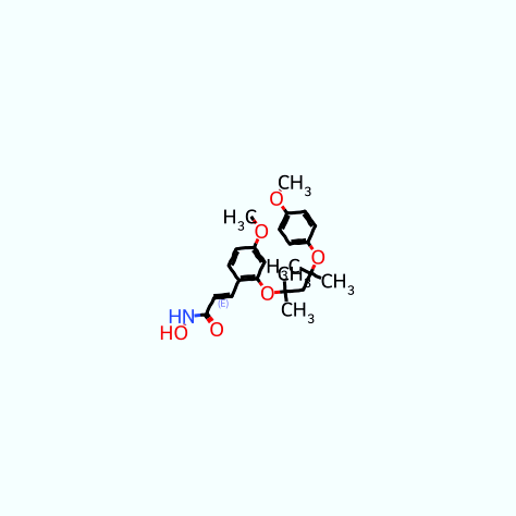 COc1ccc(OC(C)(C)CC(C)(C)Oc2cc(OC)ccc2/C=C/C(=O)NO)cc1